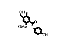 COc1cc(CO)c(C)cc1C(=O)Oc1ccc(C#N)cc1